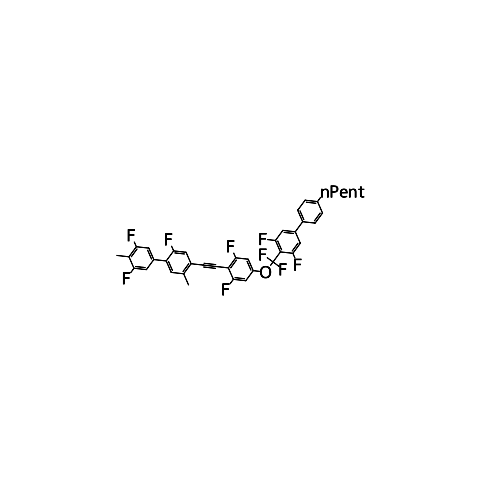 CCCCCc1ccc(-c2cc(F)c(C(F)(F)Oc3cc(F)c(C#Cc4cc(F)c(-c5cc(F)c(C)c(F)c5)cc4C)c(F)c3)c(F)c2)cc1